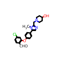 Cn1c(-c2ccc(Oc3cc(Cl)ccc3C=O)cc2)cnc1CN1CCC(O)CC1